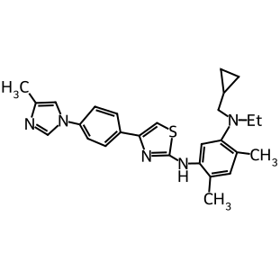 CCN(CC1CC1)c1cc(Nc2nc(-c3ccc(-n4cnc(C)c4)cc3)cs2)c(C)cc1C